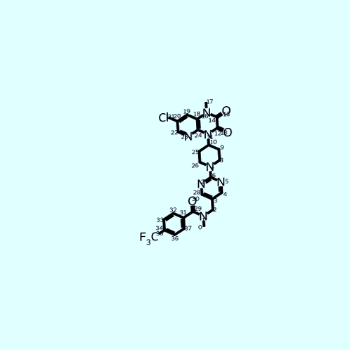 CN(Cc1cnc(N2CCC(n3c(=O)c(=O)n(C)c4cc(Cl)cnc43)CC2)nc1)C(=O)c1ccc(C(F)(F)F)cc1